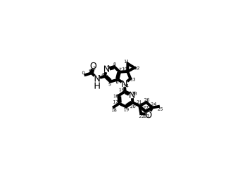 CC(=O)Nc1cc2c(cn1)C1(CC1)CN2c1cc(C)cc(C23COC(C)(C2)C3)n1